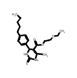 CCCCCc1ccc(C2NC(=S)NC(C)=C2C(=O)OCCOCC)cc1